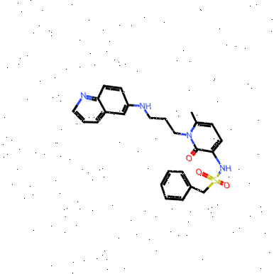 Cc1ccc(NS(=O)(=O)Cc2ccccc2)c(=O)n1CCCNc1ccc2ncccc2c1